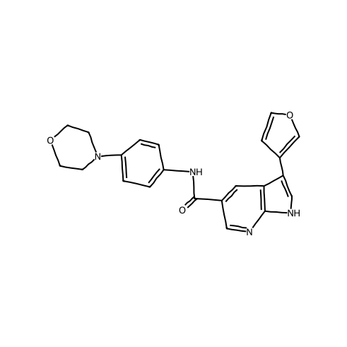 O=C(Nc1ccc(N2CCOCC2)cc1)c1cnc2[nH]cc(-c3ccoc3)c2c1